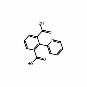 O=C(O)c1cccc(C(=O)O)c1-c1ccccn1